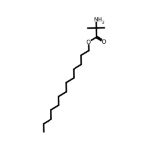 CCCCCCCCCCCCCOC(=O)C(C)(C)N